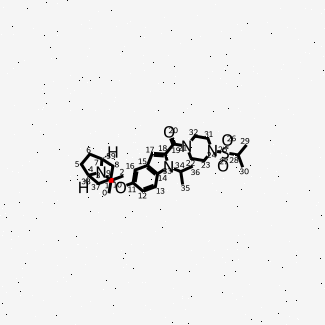 CC(C)N1[C@@H]2CC[C@H]1C[C@H](Oc1ccc3c(c1)cc(C(=O)N1CCN(S(=O)(=O)C(C)C)CC1)n3C(C)C)C2